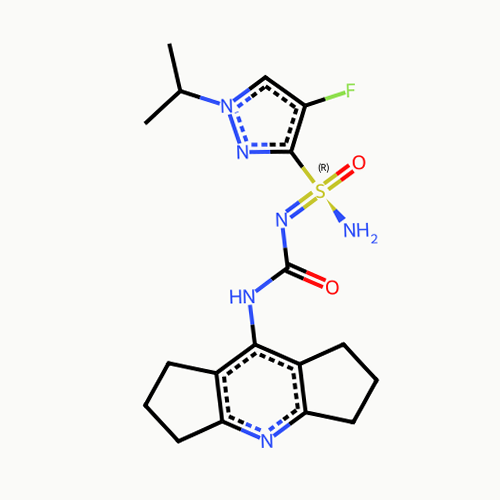 CC(C)n1cc(F)c([S@](N)(=O)=NC(=O)Nc2c3c(nc4c2CCC4)CCC3)n1